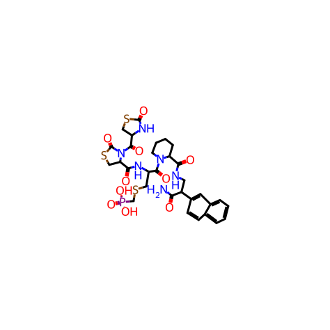 NC(=O)C(CNC(=O)C1CCCCN1C(=O)C(CSCP(=O)(O)O)NC(=O)C1CSC(=O)N1C(=O)C1CSC(=O)N1)c1ccc2ccccc2c1